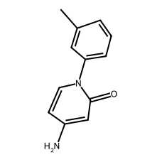 Cc1cccc(-n2ccc(N)cc2=O)c1